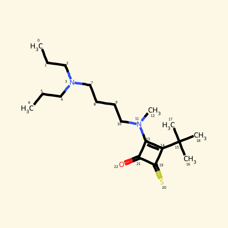 CCCN(CCC)CCCCN(C)c1c(C(C)(C)C)c(=S)c1=O